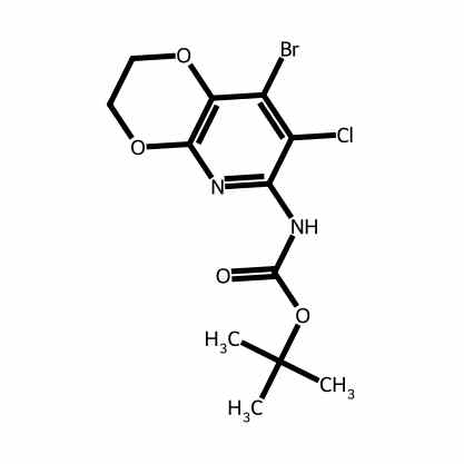 CC(C)(C)OC(=O)Nc1nc2c(c(Br)c1Cl)OCCO2